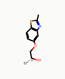 CC[C@@H](O)COc1ccc2sc(C)nc2c1